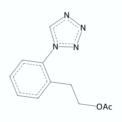 CC(=O)OCCc1ccccc1-n1cnnn1